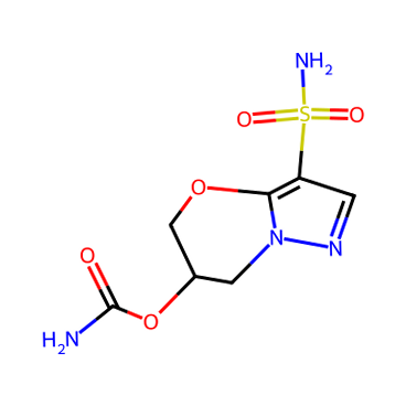 NC(=O)OC1COc2c(S(N)(=O)=O)cnn2C1